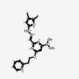 CCCN(CCC)c1cc(OCCc2ccccn2)nc(/C=N/Nc2cc(C)c(C)o2)n1